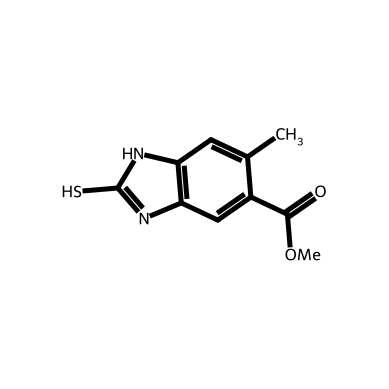 COC(=O)c1cc2nc(S)[nH]c2cc1C